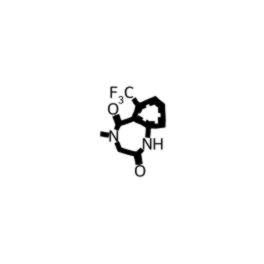 CN1CC(=O)Nc2cccc(C(F)(F)F)c2C1=O